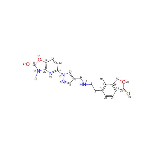 Cc1c(CCNCc2cnn(-c3ccc4oc(=O)n(C)c4n3)c2)ccc2c1COC2=O